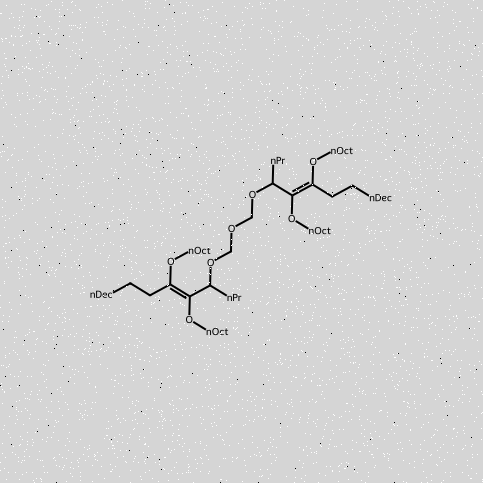 CCCCCCCCCCCCC(OCCCCCCCC)=C(OCCCCCCCC)C(CCC)OCOCOC(CCC)C(OCCCCCCCC)=C(CCCCCCCCCCCC)OCCCCCCCC